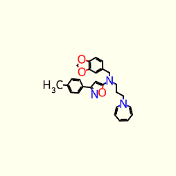 Cc1ccc(-c2cc(N(CCCN3C=CC=CC=C3)Cc3ccc4c(c3)OCO4)on2)cc1